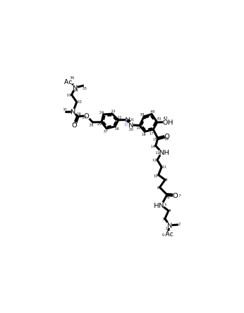 CC(=O)N(C)CCNC(=O)CCCCCNCC(=O)c1cc(/N=N/c2ccc(COC(=O)N(C)CCN(C)C(C)=O)cc2)ccc1O